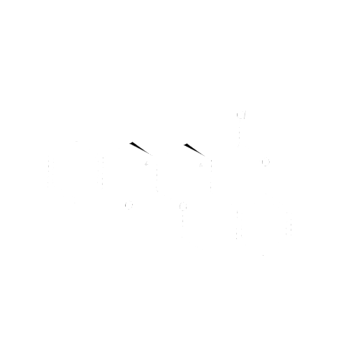 CCOC(=O)[C@@H](Cc1ccccc1)C[C@H](Cc1ccccc1)C(=O)Cl